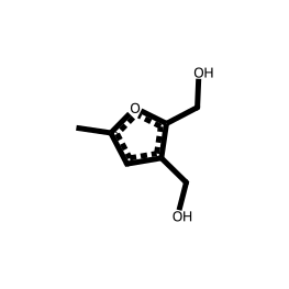 Cc1cc(CO)c(CO)o1